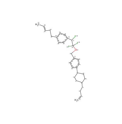 C=CCCC1CCC(c2ccc(COC(F)(F)C(F)c3ccc(CCC=CC)cc3)cc2)CC1